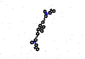 CC1(C)c2ccccc2-c2ccc(-n3c4ccccc4c4cc(/C=C/c5ccc(-c6ccc7c(c6)C6(c8ccccc8-c8ccccc86)c6cc(-c8ccc(/C=C/c9ccc%10c(c9)c9ccccc9n%10-c9ccc%10c(c9)C(C)(C)c9ccccc9-%10)cc8)ccc6-7)cc5)ccc43)cc21